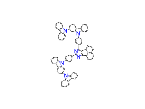 c1cc2c3c(cccc3c1)-c1c(-c3ccc(-n4c5ccccc5c5ccc(-n6c7ccccc7c7ccccc76)cc54)cc3)nc(-c3ccc(-n4c5ccccc5c5ccc(-n6c7ccccc7c7ccccc76)cc54)cc3)nc1-2